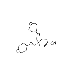 N#CC1=CCC(COC2CCOCC2)(COC2CCOCC2)C=C1